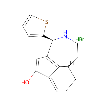 Br.OC1=CC2=C3C1=CCC[C@H]3CCN[C@@H]2c1cccs1